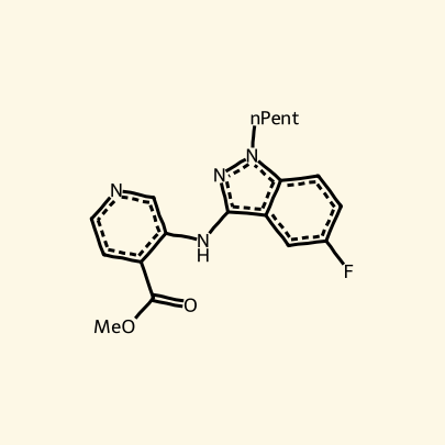 CCCCCn1nc(Nc2cnccc2C(=O)OC)c2cc(F)ccc21